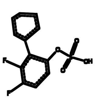 O=S(=O)(O)Oc1ccc(F)c(F)c1-c1ccccc1